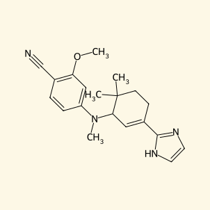 COc1cc(N(C)C2C=C(c3ncc[nH]3)CCC2(C)C)ccc1C#N